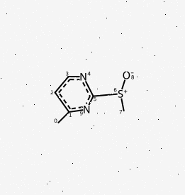 Cc1ccnc([S+](C)[O-])n1